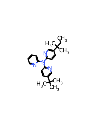 CCC(C)(C)c1ccc(N(c2ccccn2)c2ccc(C(C)(C)C)cn2)nc1